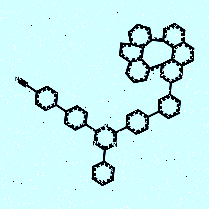 N#Cc1ccc(-c2ccc(-c3nc(-c4ccccc4)nc(-c4ccc(-c5cccc(-c6cc7ccc8cccc9c%10cccc%11ccc%12cccc(c(c6)c7c89)c%12c%11%10)c5)cc4)n3)cc2)cc1